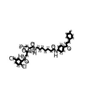 Cc1ccc(/C=C/C(=O)c2ccc(NC(=O)CCCCCCNC(=O)[C@H](CC(C)C)NC(=O)CNC(=O)c3cc(Cl)ccc3Cl)cc2)cc1